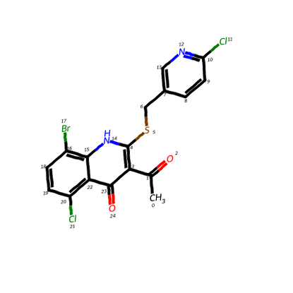 CC(=O)c1c(SCc2ccc(Cl)nc2)[nH]c2c(Br)ccc(Cl)c2c1=O